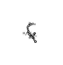 C[C@@H]1CN(C2CC(OC3CCN(C(=O)OC(C)(C)C)CC3)C2)CCN1c1ccc2c(c1F)[C@@H](C)N(c1ccc(OCc3ccccc3)nc1OCc1ccccc1)C2=O